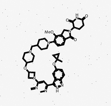 C=N/C(=C\C(=N/C)c1[nH]nc2ccc(OC3(C)CC3)cc12)N1CC(OC2CCN(CC3CCN(c4ccc5c(c4OC)CN(C4CCC(=O)NC4=O)C5=O)CC3)CC2)C1